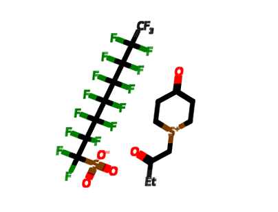 CCC(=O)C[S+]1CCC(=O)CC1.O=S(=O)([O-])C(F)(F)C(F)(F)C(F)(F)C(F)(F)C(F)(F)C(F)(F)C(F)(F)C(F)(F)F